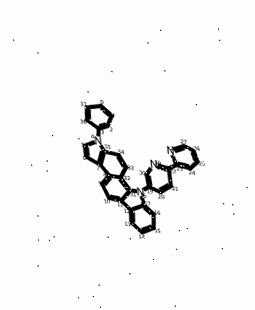 c1ccc(-n2ccc3c4ccc5c6ccccc6n(-c6ccc(-c7ccccn7)nc6)c5c4ccc32)cc1